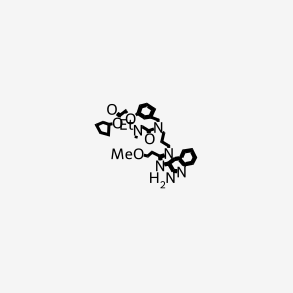 CCN(C)CC(=O)N(CCCn1c(CCOC)nc2c(N)nc3ccccc3c21)Cc1cccc(OCC(=O)OC2CCCC2)c1